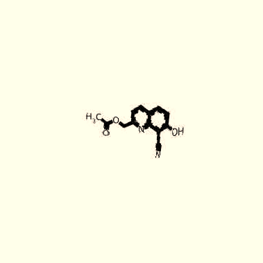 CC(=O)OCc1ccc2ccc(O)c(C#N)c2n1